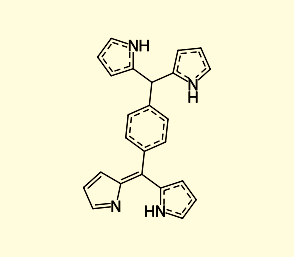 C1=C/C(=C(\c2ccc(C(c3ccc[nH]3)c3ccc[nH]3)cc2)c2ccc[nH]2)N=C1